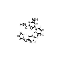 CC1=C(CC2C=CC(OC3CCCC3)=CC2)CC([C@H]2C[C@@H](O)C[C@@H](CO)O2)C=C1